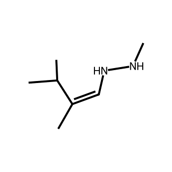 CNN/C=C(/C)C(C)C